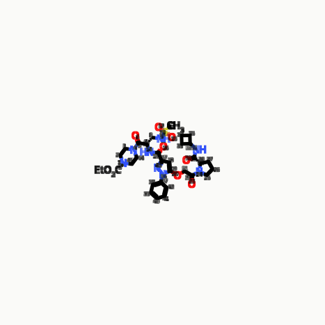 CCOC(=O)N1CCN(C(=O)[C@H](CNS(C)(=O)=O)NC(=O)c2cc(OCC(=O)N3CCC[C@H]3C(=O)NC3CCC3)n(-c3ccccc3)n2)CC1